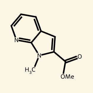 COC(=O)c1cc2cccnc2n1C